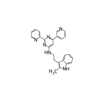 Cc1[nH]c2ccccc2c1CCNc1cc(-c2cccnc2)nc(-c2ccccn2)n1